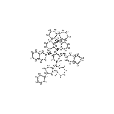 CC12CCCCC1(C)N(c1cc3c4c(c1)N(c1ccc5ccccc5c1)c1cccc5c1B4c1c(cccc1[Si]5(c1ccccc1)c1ccccc1)N3c1ccc3ccccc3c1)c1ccc(-c3ccccc3)cc12